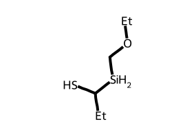 CCOC[SiH2]C(S)CC